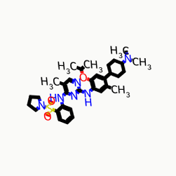 Cc1cc(Nc2ncc(C)c(Nc3ccccc3S(=O)(=O)N3CCCC3)n2)c(OC(C)C)cc1C1CCC(N(C)C)CC1